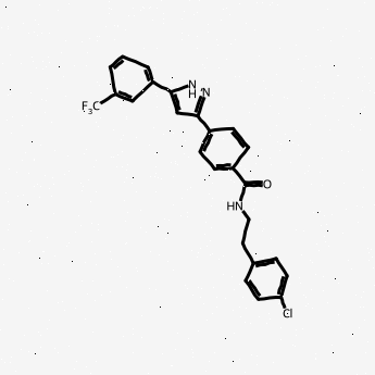 O=C(NCCc1ccc(Cl)cc1)c1ccc(-c2cc(-c3cccc(C(F)(F)F)c3)[nH]n2)cc1